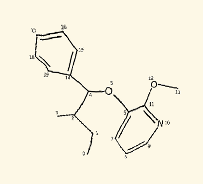 CCC(C)C(Oc1cccnc1OC)c1ccccc1